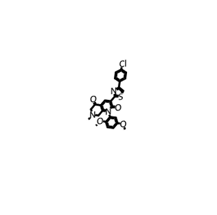 COc1ccc(OC)c(-n2c3c(cc(-c4nc(-c5ccc(Cl)cc5)cs4)c2=O)C(=O)CN(C)C3)c1